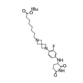 CC(C)(C)OC(=O)CCCCCCCN1CC2(C1)CN(c1ccc(NC3CCC(=O)NC3=O)cc1F)C2